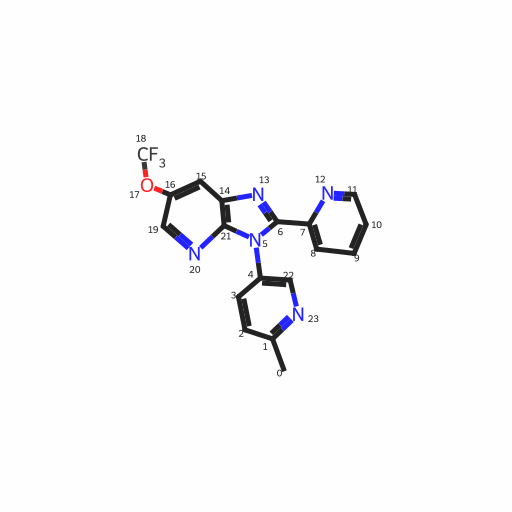 Cc1ccc(-n2c(-c3ccccn3)nc3cc(OC(F)(F)F)cnc32)cn1